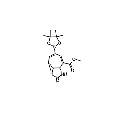 COC(=O)C1=CC(B2OC(C)(C)C(C)(C)O2)=CC2C3C1NNN23